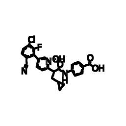 N#Cc1ccc(Cl)c(F)c1-c1ccc(C(CC2CC2)C(=O)Nc2ccc(C(=O)O)cc2)[n+](O)c1